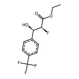 CCOC(=O)[C@@H](F)[C@H](O)c1ccc(C(F)(F)F)cc1